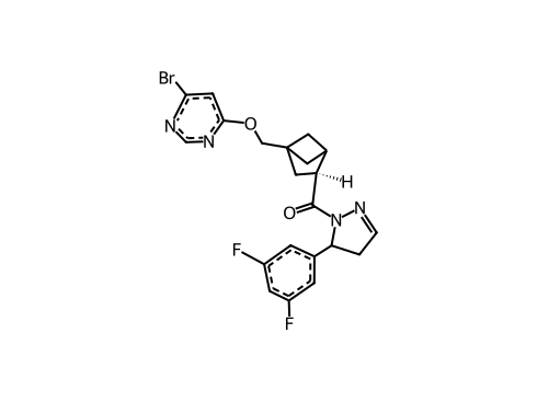 O=C([C@H]1CC2(COc3cc(Br)ncn3)CC1C2)N1N=CCC1c1cc(F)cc(F)c1